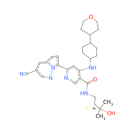 CC(C)(O)[C@H](F)CNC(=O)c1cnc(-c2ccc3cc(C#N)cnn23)cc1NC1CCC(C2CCOCC2)CC1